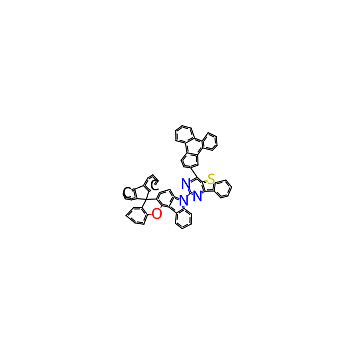 c1ccc2c(c1)Oc1c(ccc3c1c1ccccc1n3-c1nc(-c3ccc4c5ccccc5c5ccccc5c4c3)c3sc4ccccc4c3n1)C21c2ccccc2-c2ccccc21